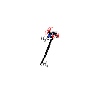 CCCCCCCCCCCCCCCCCCCC(C)(O)C[N+](C)(C)CCC(=O)[O-]